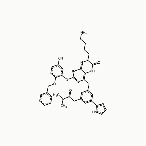 CN(C)C(=O)Cc1cc(OC2=C3NC(=O)C(CCCCN)N=C3NC(Oc3cc(C#N)ccc3OCc3ccccc3)=N2)cc(-c2ncc[nH]2)c1